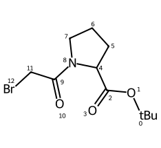 CC(C)(C)OC(=O)C1CCCN1C(=O)CBr